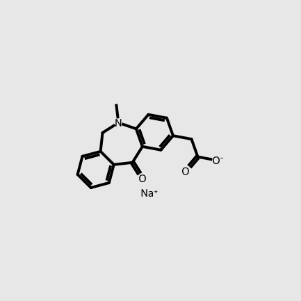 CN1Cc2ccccc2C(=O)c2cc(CC(=O)[O-])ccc21.[Na+]